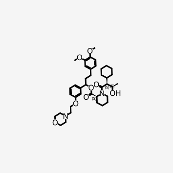 COc1ccc(CCC(OC(=O)[C@@H]2CCCCN2C(=O)[C@@H](C2CCCCC2)[C@@H](C)O)c2cccc(OCCN3CCOCC3)c2)cc1OC